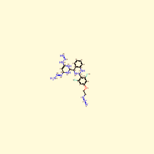 [N-]=[N+]=NCCOc1cc(F)c(CNc2ccccc2C(N)C2NC(NN=N)=CC(N=NN)N2)c(F)c1